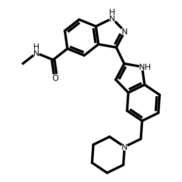 CNC(=O)c1ccc2[nH]nc(-c3cc4cc(CN5CCCCC5)ccc4[nH]3)c2c1